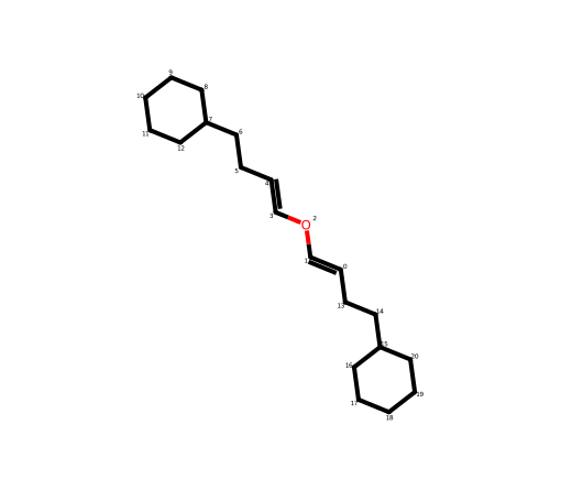 C(=COC=CCCC1CCCCC1)CCC1CCCCC1